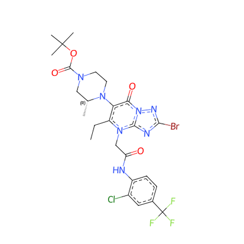 CCc1c(N2CCN(C(=O)OC(C)(C)C)C[C@H]2C)c(=O)n2nc(Br)nc2n1CC(=O)Nc1ccc(C(F)(F)F)cc1Cl